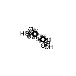 O=S(=O)(O)c1cc(Sc2ccc(Cl)c(S(=O)(=O)O)c2)ccc1Cl